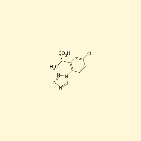 CC(C(=O)O)c1cc(Cl)ccc1-n1cnnn1